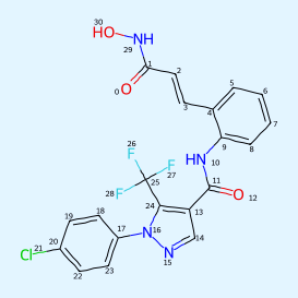 O=C(/C=C/c1ccccc1NC(=O)c1cnn(-c2ccc(Cl)cc2)c1C(F)(F)F)NO